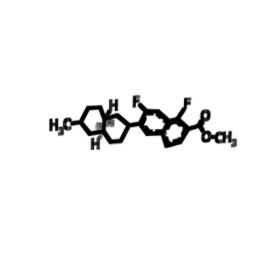 COC(=O)c1ccc2cc(C3CC[C@H]4CC(C)CC[C@@H]4C3)c(F)cc2c1F